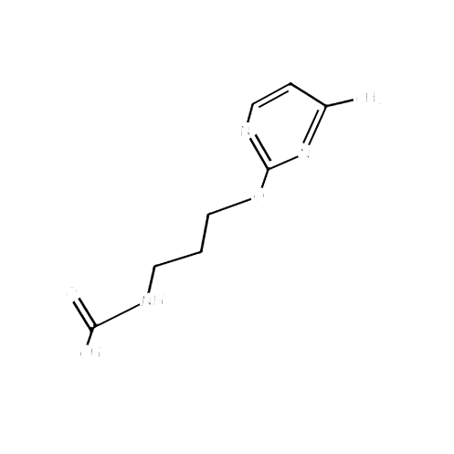 CC(=O)NCCCOc1nc[c]c(C)n1